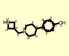 Oc1ccc(C2CCN(CC3CNC3)CC2)cc1